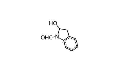 O=CN1c2ccccc2CC1O